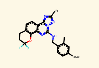 COc1ccc(CNc2nc3c4c(ccc3c3nc(C(C)C)nn23)CCC(F)(F)O4)c(C)c1